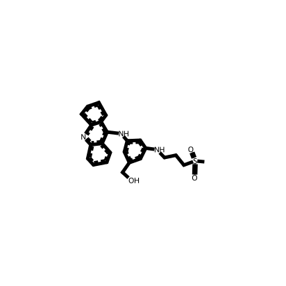 CS(=O)(=O)CCCNc1cc(CO)cc(Nc2c3ccccc3nc3ccccc23)c1